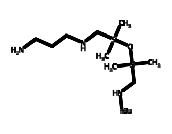 CCCCNC[Si](C)(C)O[Si](C)(C)CNCCCN